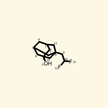 OC12CC3CC(C1)CC(CC(F)F)(C3)C2